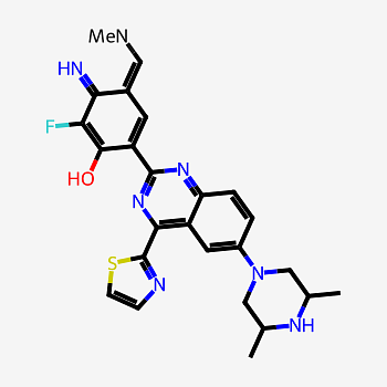 CN/C=C1/C=C(c2nc(-c3nccs3)c3cc(N4CC(C)NC(C)C4)ccc3n2)C(O)=C(F)C1=N